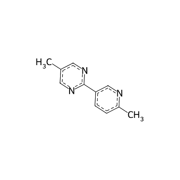 Cc1cnc(-c2ccc(C)nc2)nc1